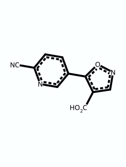 N#Cc1ccc(-c2oncc2C(=O)O)cn1